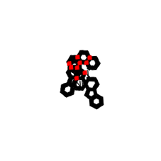 C1=CC2(C3=Cc4ccccc4C3=C1)C1=Cc3ccccc3C1=CC=C2N(c1ccccc1-c1ccccc1)c1c(-c2ccccc2)ccc2c1[nH]c1ccccc12